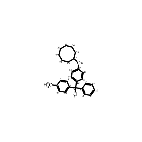 Cc1ccc(C(Cl)(c2ccccc2)c2ccc(OC3CCCCCCC3)cc2)cc1